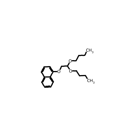 CCCCOC(COc1cccc2ccccc12)OCCCC